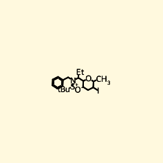 CCC(C1CCC(I)C(C)O1)N(Cc1ccccc1)[S+]([O-])C(C)(C)C